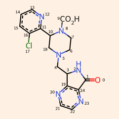 O=C1NC(CN2CCN(C(=O)O)C(c3ncccc3Cl)C2)c2nccnc21